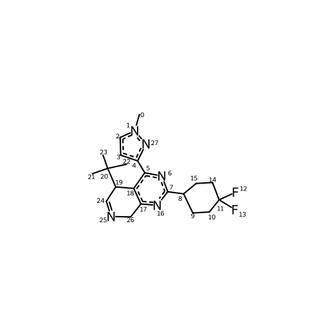 Cn1ccc(-c2nc(C3CCC(F)(F)CC3)nc3c2C(C(C)(C)C)C=NC3)n1